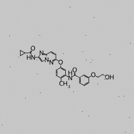 Cc1ccc(Oc2ccc3nc(NC(=O)C4CC4)cn3n2)cc1NC(=O)c1cccc(OCCO)c1